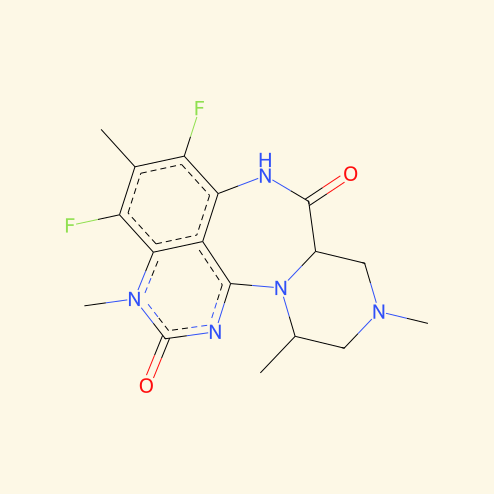 Cc1c(F)c2c3c(nc(=O)n(C)c3c1F)N1C(C)CN(C)CC1C(=O)N2